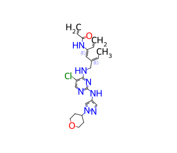 C=CC(=O)N/C(C=C)=C/C(=C\C)CNc1nc(Nc2cnn(C3CCOCC3)c2)ncc1Cl